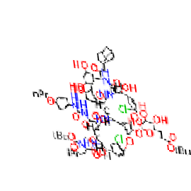 CCCOc1ccc(NC(=O)NC(=O)C[C@@H]2CC(=O)[C@H](NC(=O)[C@@H](CC(C)C)N(C)C(=O)OC(C)(C)C)[C@H](O)c3ccc(c(Cl)c3)Oc3cc4cc(c3O[C@@H]3O[C@H](CCC(=O)OC(C)(C)C)[C@@H](O)[C@H](O)[C@H]3O)Oc3ccc(cc3Cl)[C@@H](O)[C@@H]3NC(=O)[C@H](CC(=O)[C@@H]4NC2=O)c2ccc(O)c(c2)-c2c(O)cc(O)cc2[C@@H](C(=O)CC2C4CC5CC(C4)CC2C5)NC3=O)cc1